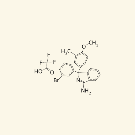 COc1ccc(C2(c3cccc(Br)c3)N=C(N)c3ccccc32)cc1C.O=C(O)C(F)(F)F